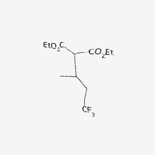 CCOC(=O)C(C(=O)OCC)C(C)CC(F)(F)F